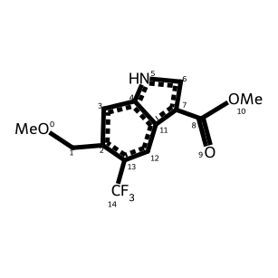 COCc1cc2[nH]cc(C(=O)OC)c2cc1C(F)(F)F